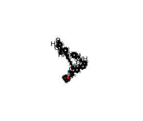 Cc1c(-c2ccc(N3CCc4cccc(C(=O)Nc5nc6ccccc6s5)c4C3)nc2C(=O)NCCCCCC(=O)Nc2cccc3c(C4CCC(=O)NC4=O)nn(C)c23)cnn1CC12CC3CC(CC(C3)C1)C2